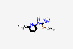 CSC(=N)Nc1cccc(C)n1